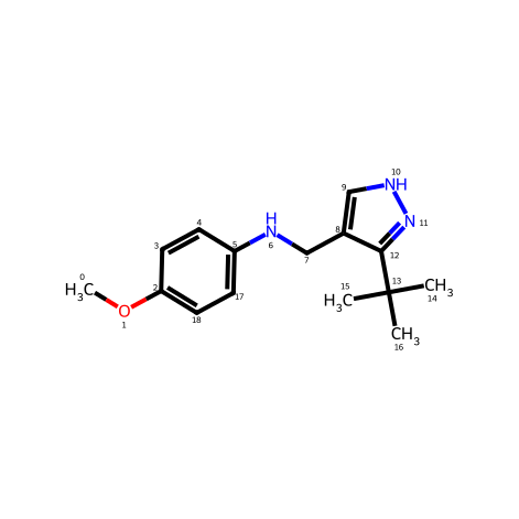 COc1ccc(NCc2c[nH]nc2C(C)(C)C)cc1